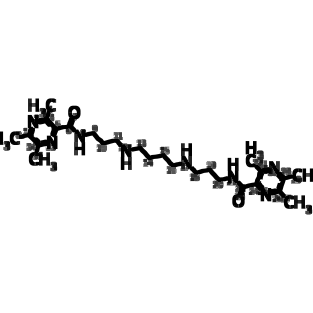 Cc1nc(C)c(C(=O)NCCCNCCCCNCCCNC(=O)c2nc(C)c(C)nc2C)nc1C